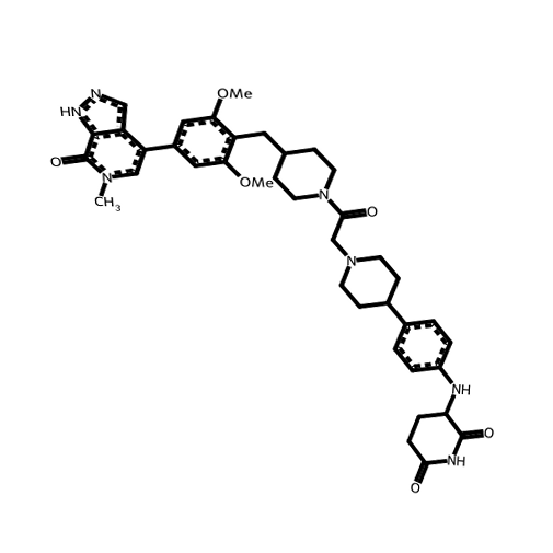 COc1cc(-c2cn(C)c(=O)c3[nH]ncc23)cc(OC)c1CC1CCN(C(=O)CN2CCC(c3ccc(NC4CCC(=O)NC4=O)cc3)CC2)CC1